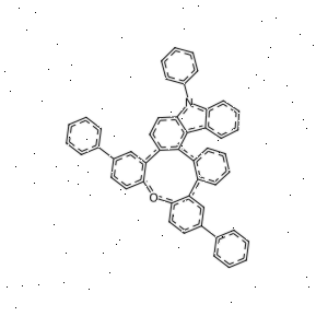 c1ccc(-c2ccc3oc4ccc(-c5ccccc5)cc4c4ccc5c(c6ccccc6n5-c5ccccc5)c4c4ccccc4c3c2)cc1